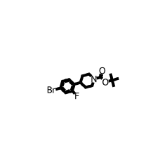 CC(C)(C)OC(=O)N1CCC(c2ccc(Br)cc2F)CC1